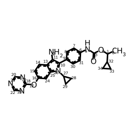 CC(OC(=O)Nc1ccc(-c2c(N)c3ccc(Oc4ncncn4)cc3n2C2CC2)cc1)C1CC1